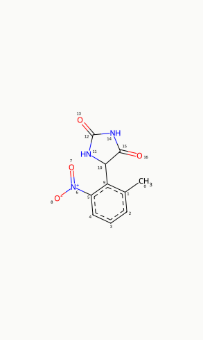 Cc1cccc([N+](=O)[O-])c1C1NC(=O)NC1=O